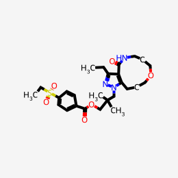 CCc1nn(CC(C)(C)COC(=O)c2ccc(S(=O)(=O)CC)cc2)c2c1C(=O)NCCCOCCC2